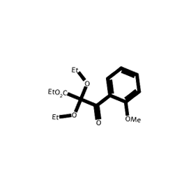 CCOC(=O)C(OCC)(OCC)C(=O)c1ccccc1OC